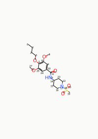 CCCCOc1c(OC)cc(C(=O)NC2CCN(S(C)(=O)=O)CC2)cc1OC